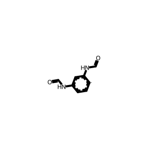 O=CNc1[c]ccc(NC=O)c1